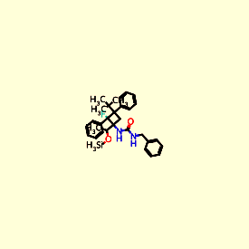 CC(O[SiH3])C1(NC(=O)NCc2ccccc2)CC(c2ccccc2)(C(C)(C)C)C1(F)c1ccccc1